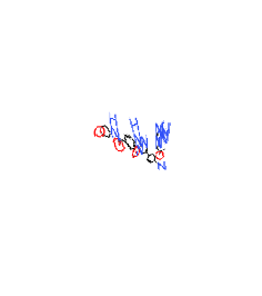 COc1cc(C(=O)NC2CCOCC2)ccc1Nc1ncc(-c2ccc(C#N)c(OC(C)Cn3cnnn3)c2)cn1